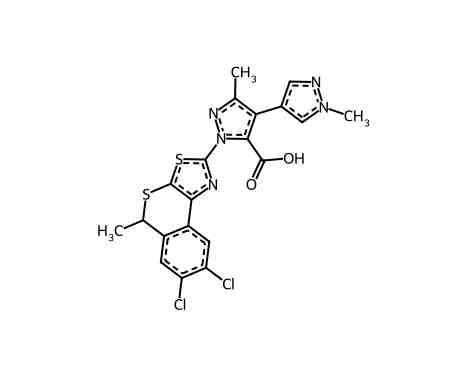 Cc1nn(-c2nc3c(s2)SC(C)c2cc(Cl)c(Cl)cc2-3)c(C(=O)O)c1-c1cnn(C)c1